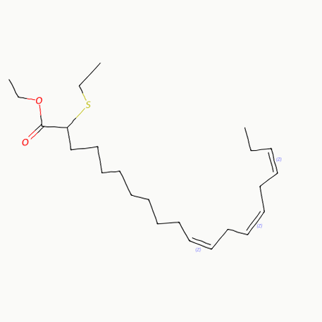 CC/C=C\C/C=C\C/C=C\CCCCCCCCC(SCC)C(=O)OCC